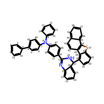 c1ccc(-c2ccc(N(c3ccccc3)c3ccc(C4=Nc5ccccc5C(c5cccc6sc7c8ccccc8ccc7c56)N4)cc3)cc2)cc1